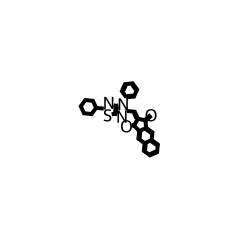 O=C1C(=Cc2nc3sc(C4CCCCC4)nc3n2-c2ccccc2)C(=O)c2cc3ccccc3cc21